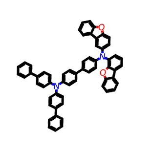 c1ccc(-c2ccc(N(c3ccc(-c4ccccc4)cc3)c3ccc(-c4ccc(N(c5ccc6oc7ccccc7c6c5)c5cccc6c5oc5ccccc56)cc4)cc3)cc2)cc1